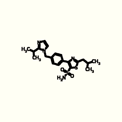 CC(C)Cc1nc(-c2ccc(Cn3ccnc3C(C)C)cc2)c(S(N)(=O)=O)s1